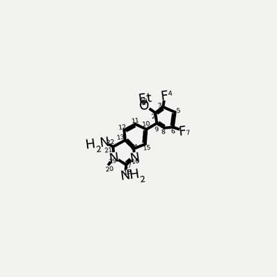 CCOc1c(F)cc(F)cc1-c1ccc2c(c1)N=C(N)N(C)C2N